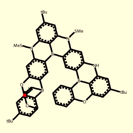 CSN1c2cc3c(cc2B2c4cc5c(cc4N(SC)c4cc(C(C)(C)C)cc1c42)Oc1cc(C(C)(C)C)cc2c1B5c1ccccc1O2)B1c2ccccc2Oc2cc(C(C)(C)C)cc(c21)N3